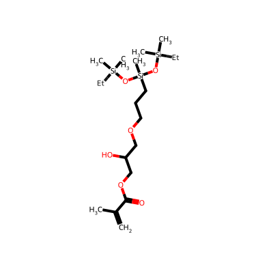 C=C(C)C(=O)OCC(O)COCCC[Si](C)(O[Si](C)(C)CC)O[Si](C)(C)CC